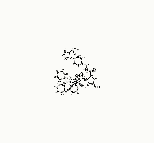 Cc1ncsc1-c1ccc(CNC(=O)[C@H]2C[C@@H](O)CN2C(=O)C(N)C(C)(C)SC(c2ccccc2)(c2ccccc2)c2ccccc2)cc1F